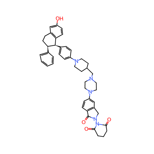 O=C1c2ccc(N3CCN(CC4CCN(c5ccc([C@@H]6c7ccc(O)cc7CC[C@@H]6c6ccccc6)cc5)CC4)CC3)cc2CN1N1C(=O)CCCC1=O